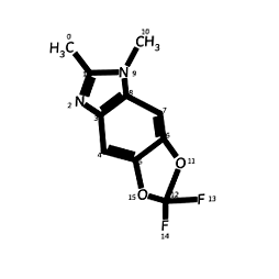 Cc1nc2cc3c(cc2n1C)OC(F)(F)O3